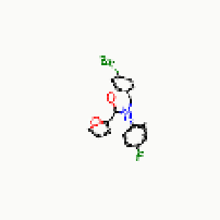 O=C(c1ccco1)N(Cc1ccc(Br)cc1)c1ccc(F)cc1